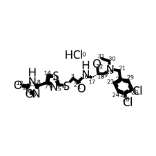 Cl.O=C(CSc1nc(-c2noc(=O)[nH]2)cs1)NC[C@H]1CN(Cc2ccc(Cl)c(Cl)c2)CCO1